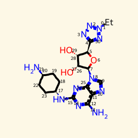 CCn1nnc([C@H]2O[C@@H](n3cnc4c(N)nc(N[C@H]5CC[C@H](N)CC5)nc43)[C@H](O)[C@@H]2O)n1